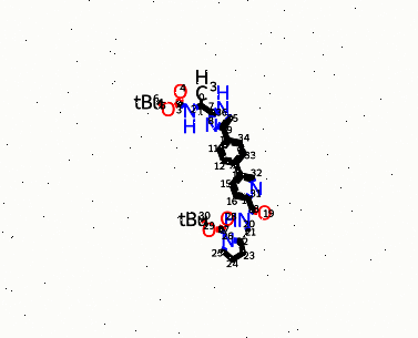 C[C@H](NC(=O)OC(C)(C)C)c1nc(-c2ccc(-c3ccc(C(=O)NC[C@@H]4CCCN4C(=O)OC(C)(C)C)nc3)cc2)c[nH]1